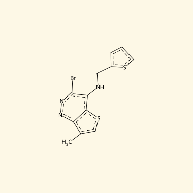 Cc1csc2c(NCc3cccs3)c(Br)nnc12